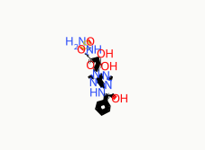 NS(=O)(=O)NC[C@H]1O[C@@H](n2cnc3c(N[C@@H](CO)c4ccccc4)ncnc32)[C@H](O)[C@@H]1O